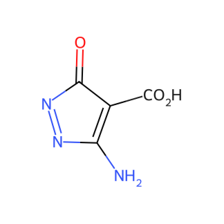 NC1=C(C(=O)O)C(=O)N=N1